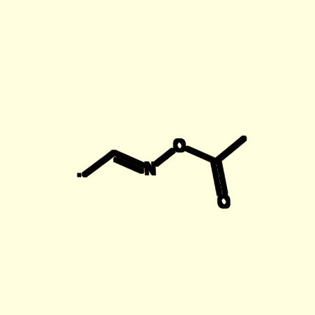 [CH2]C=NOC(C)=O